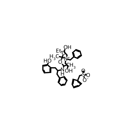 CCOC(C)(OC(C)NC(Cc1ccccc1)Cc1ccccc1O)[N+](CCO)(CCO)Cc1ccccc1.O=S(=O)([O-])Cc1ccccc1